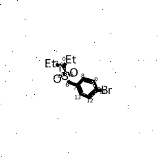 CCN(CC)S(=O)(=O)Cc1ccc(Br)cc1